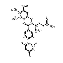 COc1cc(CN(C(=O)c2ccc(-c3c(C)cc(C)cc3C)cc2)[C@@H](CCC(N)=O)C(=O)O)cc(OC)c1OC